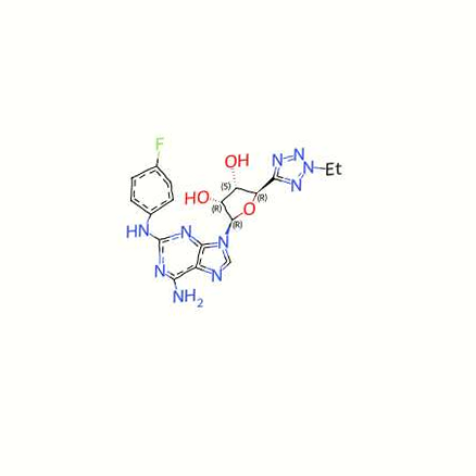 CCn1nnc([C@H]2O[C@@H](n3cnc4c(N)nc(Nc5ccc(F)cc5)nc43)[C@H](O)[C@@H]2O)n1